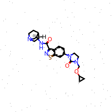 O=C(N[C@@H]1CN2CCC1CC2)c1nsc2cc(N3CCN(COC4CC4)C3=O)ccc12